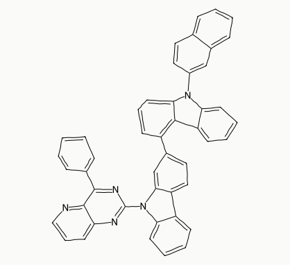 c1ccc(-c2nc(-n3c4ccccc4c4ccc(-c5cccc6c5c5ccccc5n6-c5ccc6ccccc6c5)cc43)nc3cccnc23)cc1